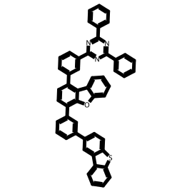 c1ccc(-c2nc(-c3ccccc3)nc(-c3cccc(-c4ccc(-c5cccc(-c6ccc7sc8ccccc8c7c6)c5)c5oc6ccccc6c45)c3)n2)cc1